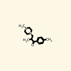 Cc1ccc(C(=O)C(C)CN2CCN(C)CC2)cc1